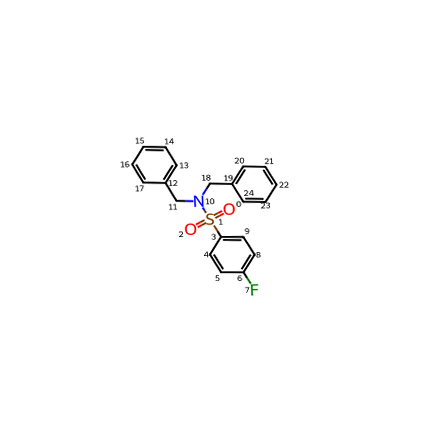 O=S(=O)(c1ccc(F)cc1)N(Cc1ccccc1)Cc1ccccc1